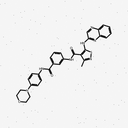 Cc1nsc(Nc2cnc3ccccc3n2)c1C(=O)Nc1cccc(C(=O)Nc2ccc(N3CCOCC3)cc2)c1